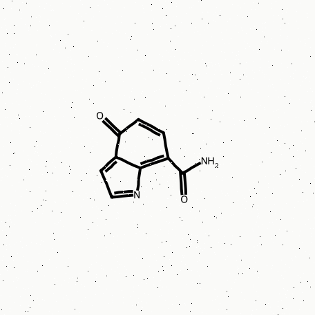 NC(=O)C1=C2N=CC=C2C(=O)C=C1